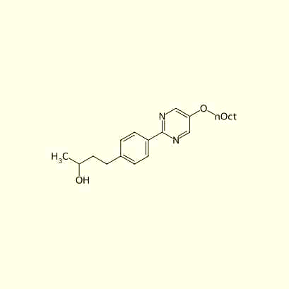 CCCCCCCCOc1cnc(-c2ccc(CCC(C)O)cc2)nc1